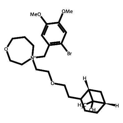 COc1cc(Br)c(C[N+]2(CCOCCC3CC[C@H]4C[C@@H]3C4(C)C)CCCOCC2)cc1OC